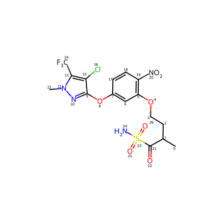 CC(CCOc1cc(Oc2nn(C)c(C(F)(F)F)c2Cl)ccc1[N+](=O)[O-])C(=O)S(N)(=O)=O